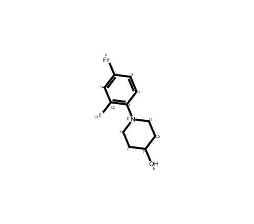 CCc1ccc(N2CCC(O)CC2)c(F)c1